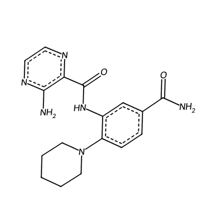 NC(=O)c1ccc(N2CCCCC2)c(NC(=O)c2nccnc2N)c1